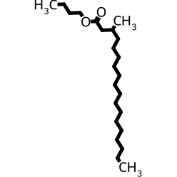 CCCCCCCCCCCCCCCC(C)CC(=O)OCCCC